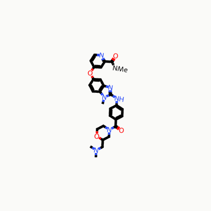 CNC(=O)c1cc(Oc2ccc3c(c2)nc(Nc2ccc(C(=O)N4CCOC(CN(C)C)C4)cc2)n3C)ccn1